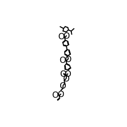 C=CC(=O)OCCOCCOC(=O)Oc1ccc(C(=O)Oc2ccc(-c3ccc(C(=O)OC4CC(C)CCC4C(C)C)cc3)cc2)cc1